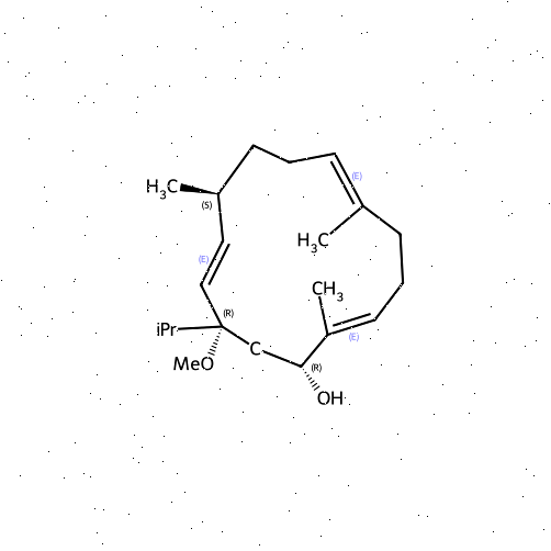 CO[C@]1(C(C)C)/C=C/[C@@H](C)CC/C=C(\C)CC/C=C(\C)[C@H](O)C1